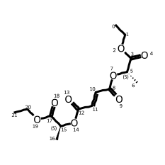 CCOC(=O)[C@H](C)OC(=O)C=CC(=O)O[C@@H](C)C(=O)OCC